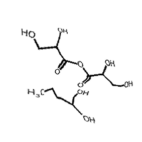 CCCC(O)O.O=C(OC(=O)C(O)CO)C(O)CO